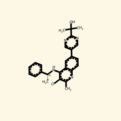 Cc1nc2ccc(-c3cnc(C(C)(C)O)nc3)cc2c(N[C@H](C)c2ccccc2)c1Cl